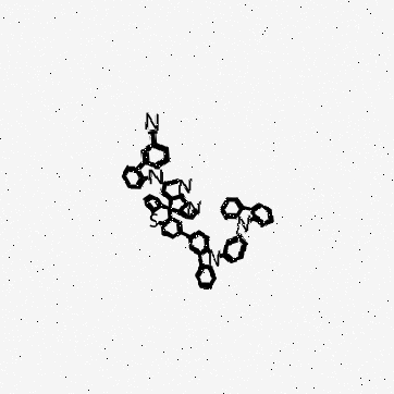 N#Cc1ccc2c(c1)c1ccccc1n2-c1cnc2c(c1)C1(c3ccccc3Sc3ccc(-c4ccc5c(c4)c4ccccc4n5-c4cccc(-n5c6ccccc6c6ccccc65)c4)cc31)c1cccnc1-2